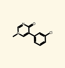 Cn1cnc(=O)c(-c2cccc(Cl)c2)c1